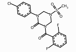 CS(=O)(=O)N1CN(C(=O)c2c(F)cccc2F)C(=O)N(c2ccc(Cl)cc2)C1